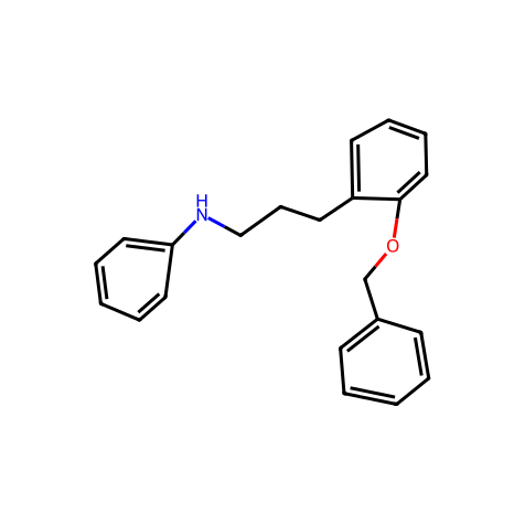 c1ccc(COc2ccccc2CCCNc2ccccc2)cc1